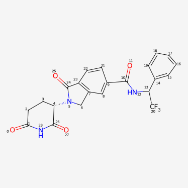 O=C1CC[C@H](N2Cc3cc(C(=O)NC(c4ccccc4)C(F)(F)F)ccc3C2=O)C(=O)N1